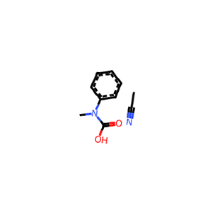 CC#N.CN(C(=O)O)c1ccccc1